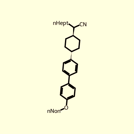 CCCCCCCCCOc1ccc(-c2ccc([C@H]3CC[C@H](C(C#N)CCCCCCC)CC3)cc2)cc1